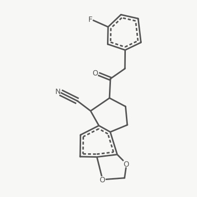 N#CC1c2ccc3c(c2CCC1C(=O)Cc1cccc(F)c1)OCO3